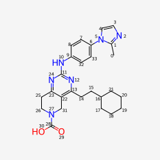 Cc1nccn1-c1ccc(Nc2nc(CCC3CCCCC3)c3c(n2)CCN(C(=O)O)C3)cc1